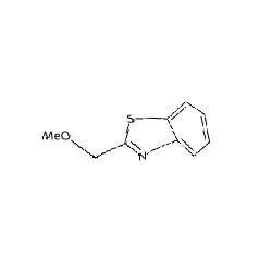 COCc1nc2ccccc2s1